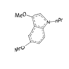 CCCn1cc(OC)c2cc(OC)ccc21